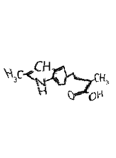 C=C(C)Nc1ccc(CC(C)C(=O)O)cc1